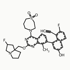 C#Cc1c(F)ccc2cc(O)cc(-c3ccc4c(N5CCCS(=O)(=O)CC5)nc(OCC56CCCN5CC(F)C6)nc4c3C)c12